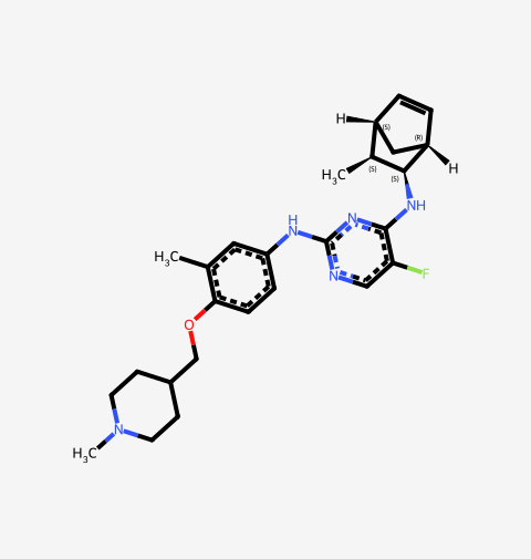 Cc1cc(Nc2ncc(F)c(N[C@H]3[C@@H](C)[C@@H]4C=C[C@H]3C4)n2)ccc1OCC1CCN(C)CC1